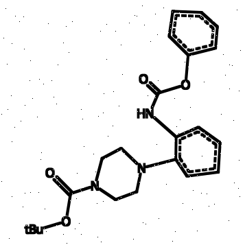 CC(C)(C)OC(=O)N1CCN(c2ccccc2NC(=O)Oc2ccccc2)CC1